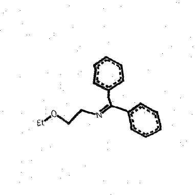 CCOCCN=C(c1ccccc1)c1ccccc1